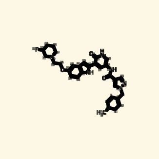 CC1C=CC(Cn2cc(C(=O)Nc3c[nH]c(=O)c(-c4cc5cc(OCCN6CCCC(F)C6)ccc5[nH]4)c3)cn2)=CC1